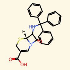 O=C(O)C1=CN2C(=O)C(NC(c3ccccc3)(c3ccccc3)c3ccccc3)[C@H]2SC1